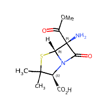 COC(=O)[C@]1(N)C(=O)N2[C@@H](C(=O)O)C(C)(C)S[C@@H]21